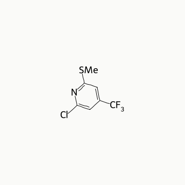 CSc1cc(C(F)(F)F)cc(Cl)n1